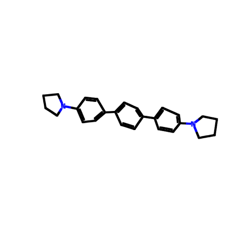 c1cc(-c2ccc(N3CCCC3)cc2)ccc1-c1ccc(N2CCCC2)cc1